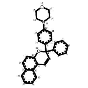 C1=CC(c2ccccc2)(c2ccc(N3CCOCC3)cc2)Oc2ccc3ccccc3c21